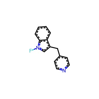 Fn1cc(Cc2ccncc2)c2ccccc21